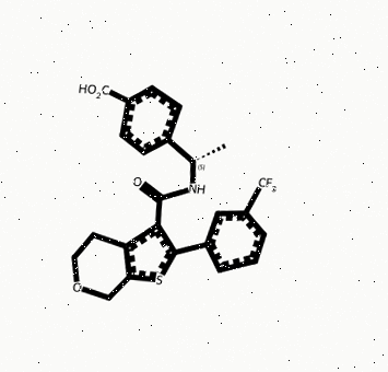 C[C@H](NC(=O)c1c(-c2cccc(C(F)(F)F)c2)sc2c1CCOC2)c1ccc(C(=O)O)cc1